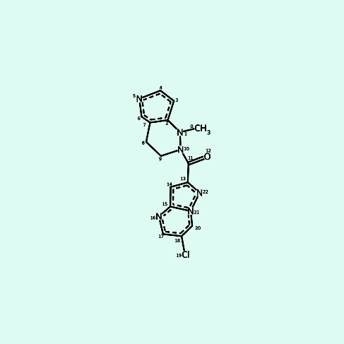 CN1c2ccncc2CCN1C(=O)c1cc2ncc(Cl)cn2n1